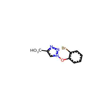 O=C(O)c1cn(Oc2ccccc2Br)nn1